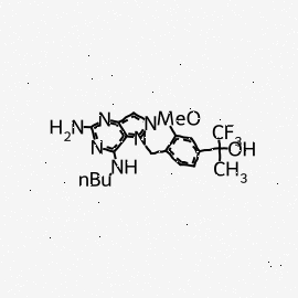 CCCCNc1nc(N)nc2cnn(Cc3ccc(C(C)(O)C(F)(F)F)cc3OC)c12